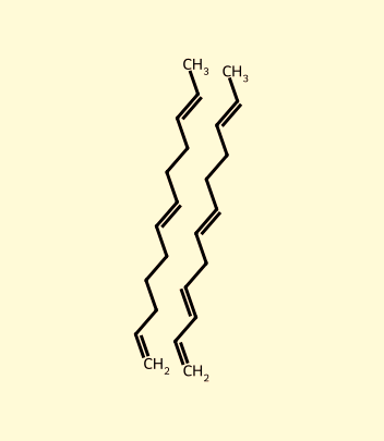 C=CC=CCC=CCCC=CC.C=CCCCC=CCCC=CC